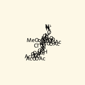 COC(=O)[C@H]1O[C@@H](Oc2ccc(C(=O)Nc3ccc4nc(C(=O)N5C[C@@H](CCl)c6c5cc(OS(=O)(=O)Oc5cc(C(=O)N(C)CC(C)(C)COCC(C)(C)CN=[N+]=[N-])ccc5OC5O[C@H](C(=O)OC)[C@@H](OC(C)=O)C(OC(C)=O)[C@H]5OC(C)=O)c5ccc(OC)cc65)cn4c3)cc2)[C@H](OC(C)=O)[C@@H](OC(C)=O)[C@@H]1OC(C)=O